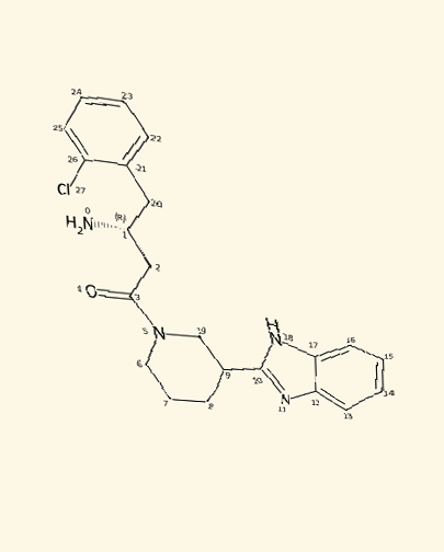 N[C@@H](CC(=O)N1CCCC(c2nc3ccccc3[nH]2)C1)Cc1ccccc1Cl